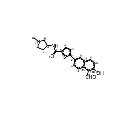 CN1CCC(NC(=O)c2ccc(-c3ccc4c(C=O)c(O)ccc4c3)s2)C1